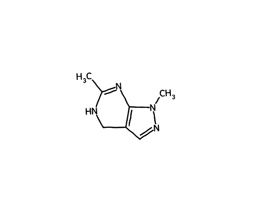 CC1=Nc2c(cnn2C)CN1